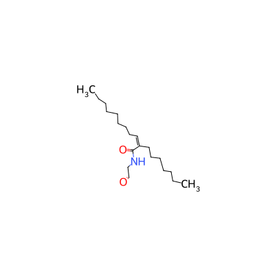 CCCCCCCC/C=C(/CCCCCCC)C(=O)NCC=O